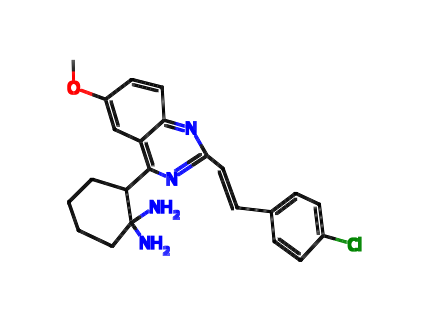 COc1ccc2nc(C=Cc3ccc(Cl)cc3)nc(C3CCCCC3(N)N)c2c1